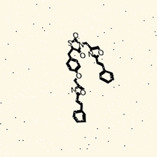 O=C1SC(Cc2ccc(OCc3coc(/C=C/c4ccccc4)n3)cc2)C(=O)N1Cc1coc(/C=C/c2ccccc2)n1